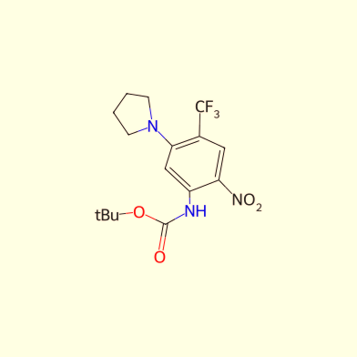 CC(C)(C)OC(=O)Nc1cc(N2CCCC2)c(C(F)(F)F)cc1[N+](=O)[O-]